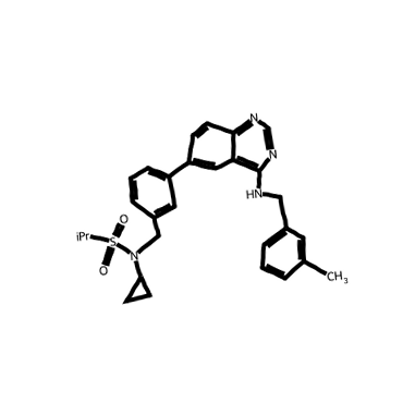 Cc1cccc(CNc2ncnc3ccc(-c4cccc(CN(C5CC5)S(=O)(=O)C(C)C)c4)cc23)c1